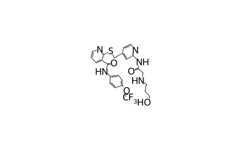 O=C(CNCCCO)Nc1cc(CSc2ncccc2C(=O)Nc2ccc(OC(F)(F)F)cc2)ccn1